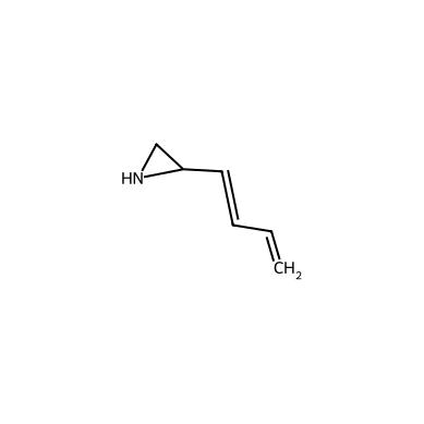 C=CC=CC1CN1